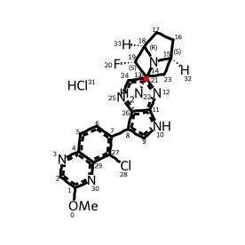 COc1cnc2ccc(-c3c[nH]c4nc(N5[C@H]6CC[C@@H]5[C@@H](F)[C@@H](N)C6)cnc34)c(Cl)c2n1.Cl